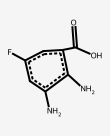 Nc1cc(F)cc(C(=O)O)c1N